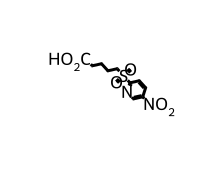 O=C(O)CCCCS(=O)(=O)c1ccc([N+](=O)[O-])cn1